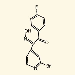 O=C(C(=NO)c1ccnc(Br)c1)c1ccc(F)cc1